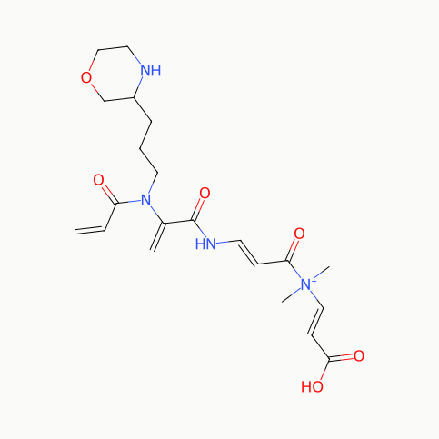 C=CC(=O)N(CCCC1COCCN1)C(=C)C(=O)NC=CC(=O)[N+](C)(C)C=CC(=O)O